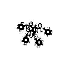 Cc1c(C(=O)OCc2ccccc2)nc(C(=O)OCc2ccccc2)c(C(=O)OCc2ccccc2)c1C(=O)OCc1ccccc1